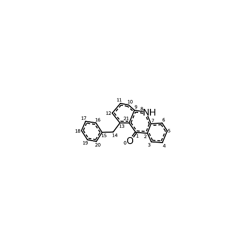 O=c1c2ccccc2[nH]c2cccc(Cc3ccccc3)c12